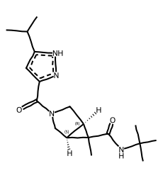 CC(C)c1cc(C(=O)N2C[C@@H]3[C@H](C2)C3(C)C(=O)NC(C)(C)C)n[nH]1